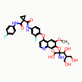 COc1cc2c(Oc3ccc(NC(=O)C4(C(=O)Nc5ccc(F)cc5)CC4)cc3F)ccnc2cc1OC(N)(C(=O)O)C(O)C(CO)CO